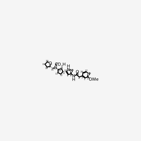 COc1cc(CC(=O)Nc2cc([C@@H]3CC[C@H](N(C[C@@H]4CCCO4)C(=O)O)C3)[nH]n2)ccn1